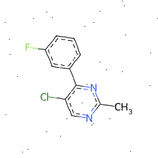 Cc1ncc(Cl)c(-c2cccc(F)c2)n1